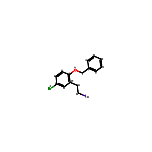 Brc1ccc(OCc2ccccc2)c(CCI)c1